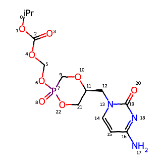 CC(C)OC(=O)OCOP1(=O)CO[C@@H](Cn2ccc(N)nc2=O)CO1